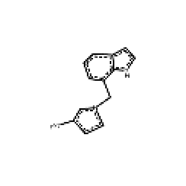 CCCc1ccn(Cc2cccc3cc[nH]c23)c1